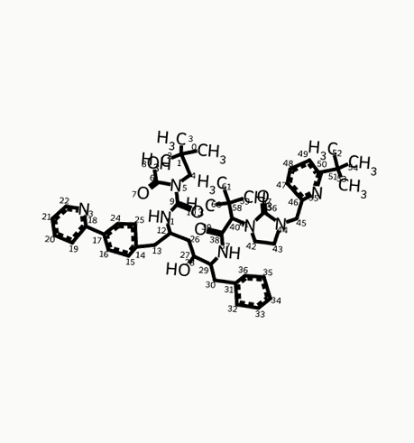 CC(C)(C)CN(C(=O)O)C(=O)NC(Cc1ccc(-c2ccccn2)cc1)CC(O)C(Cc1ccccc1)NC(=O)C(N1CCN(Cc2cccc(C(C)(C)C)n2)C1=O)C(C)(C)C